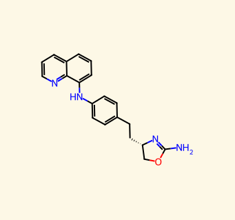 NC1=N[C@@H](CCc2ccc(Nc3cccc4cccnc34)cc2)CO1